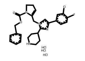 Cl.Cl.Cl.O=C(OCc1ccccc1)N1CCC=C1Cn1cc(-c2ccc(F)c(Cl)c2)nc1C1CCNCC1